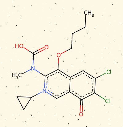 CCCCOc1c2cc(Cl)c(Cl)c(=O)c-2cn(C2CC2)c1N(C)C(=O)O